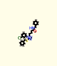 O=C(CCCc1nnc(SCc2ccccc2)n1-c1cccc(Cl)c1)NCc1ccccc1